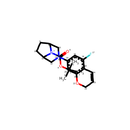 CC(C)(C)OC(=O)N1C2CCC1CN(c1cc(F)c3c(c1)OCC=C3)C2